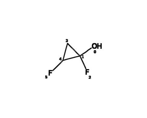 OC1(F)CC1F